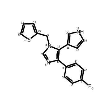 Fc1ccc(-c2ncn(Cc3cccs3)c2-c2cc[nH]c2)cc1